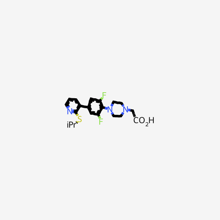 CC(C)Sc1ncccc1-c1cc(F)c(N2CCN(CC(=O)O)CC2)c(F)c1